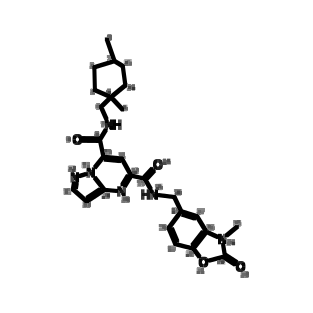 CC1CCC(C)(CNC(=O)c2cc(C(=O)NCc3ccc4oc(=O)n(C)c4c3)nc3ccnn23)CC1